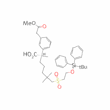 COC(=O)Cc1cccc([C@@](C)(CCCC(C)(C)CS(=O)(=O)CCO[Si](c2ccccc2)(c2ccccc2)C(C)(C)C)C(=O)O)c1